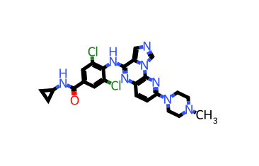 CN1CCN(c2ccc3nc(Nc4c(Cl)cc(C(=O)NC5CC5)cc4Cl)c4cncn4c3n2)CC1